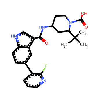 CC(C)(C)C1CC(NC(=O)c2c[nH]c3ccc(-c4cccnc4F)cc23)CCN1C(=O)O